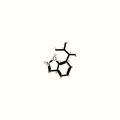 CC(C)C(C)c1cccc2cnoc12